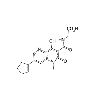 Cn1c(=O)c(C(=O)NCC(=O)O)c(O)c2ncc(C3=CCCC3)cc21